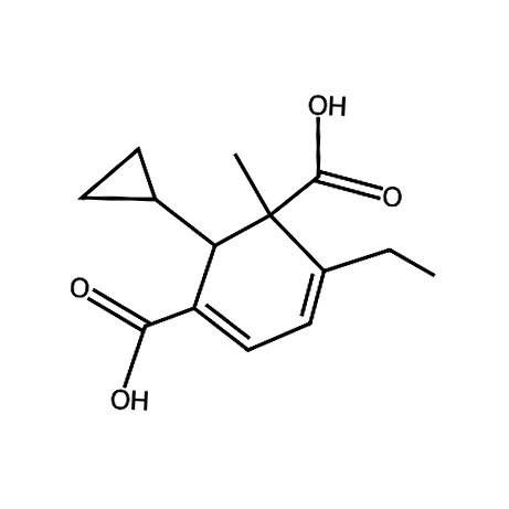 CCC1=CC=C(C(=O)O)C(C2CC2)C1(C)C(=O)O